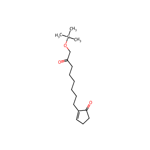 C[Si](C)(C)OCC(=O)CCCCCCC1=CCCC1=O